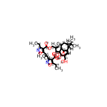 CCc1noc(CC)c1C(=O)OCC1=C[C@]23C(=O)[C@@H](C=C(CO)[C@@H](O)[C@]2(O)[C@H]1OC(=O)c1c(CC)noc1CC)[C@@H]1[C@@H](C[C@H]3C)C1(C)C